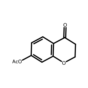 CC(=O)Oc1ccc2c(c1)OCCC2=O